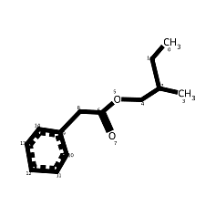 CCC(C)COC(=O)Cc1ccccc1